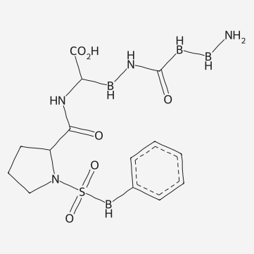 NBBC(=O)NBC(NC(=O)C1CCCN1S(=O)(=O)Bc1ccccc1)C(=O)O